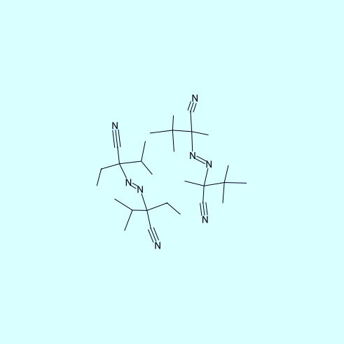 CC(C)(C)C(C)(C#N)N=NC(C)(C#N)C(C)(C)C.CCC(C#N)(N=NC(C#N)(CC)C(C)C)C(C)C